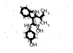 C/C=C(/C)c1[nH]c2ccccc2c1/C(=N/O)Nc1ccc(O)cc1